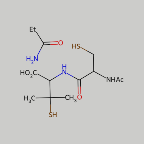 CC(=O)NC(CS)C(=O)NC(C(=O)O)C(C)(C)S.CCC(N)=O